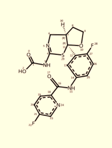 O=C(O)NC1=NC[C@H]2CCO[C@@]2(c2cc(NC(=O)c3ccc(F)cn3)ccc2F)S1